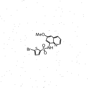 COc1cc(NS(=O)(=O)c2ccc(Br)s2)c2ncccc2c1